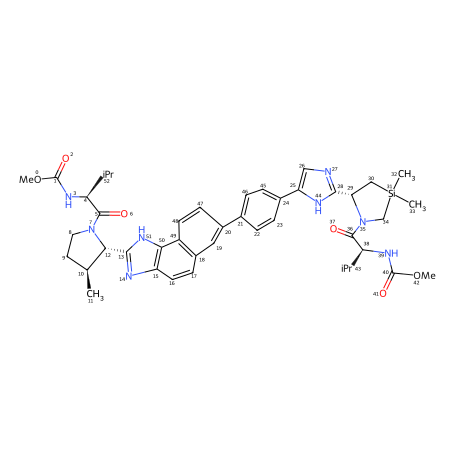 COC(=O)N[C@H](C(=O)N1CC[C@H](C)[C@H]1c1nc2ccc3cc(-c4ccc(-c5cnc([C@@H]6C[Si](C)(C)CN6C(=O)[C@@H](NC(=O)OC)C(C)C)[nH]5)cc4)ccc3c2[nH]1)C(C)C